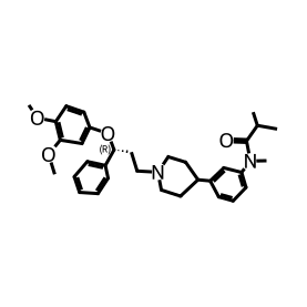 COc1ccc(O[C@H](CCN2CCC(c3cccc(N(C)C(=O)C(C)C)c3)CC2)c2ccccc2)cc1OC